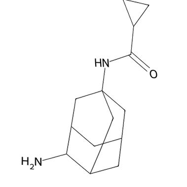 NC1C2CC3CC1CC(NC(=O)C1CC1)(C3)C2